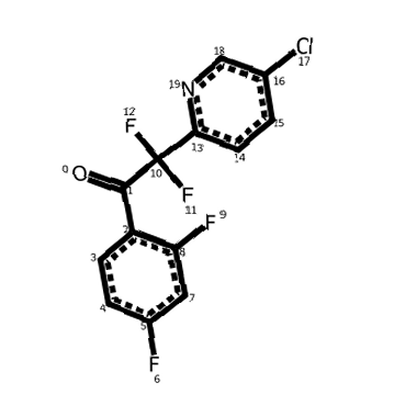 O=C(c1ccc(F)cc1F)C(F)(F)c1ccc(Cl)cn1